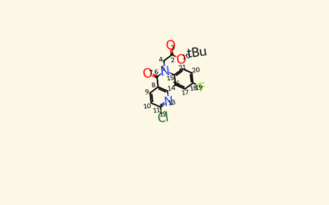 CC(C)(C)OC(=O)CN(C(=O)c1ccc(Cl)nc1)c1ccc(F)cc1